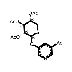 CC(=O)O[C@@H]1[C@@H](OC(C)=O)[C@H](OC(C)=O)CS[C@H]1Oc1cncc(C(C)=O)c1